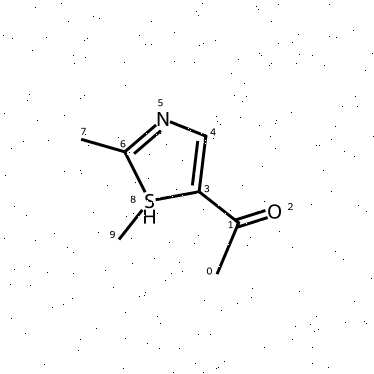 CC(=O)C1=CN=C(C)[SH]1C